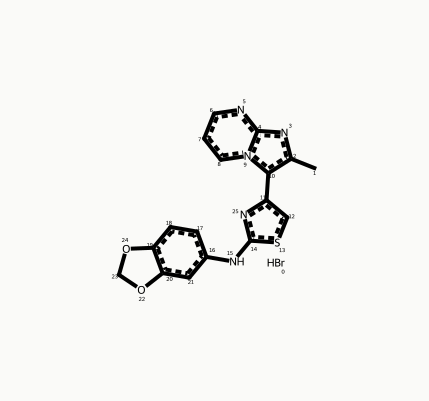 Br.Cc1nc2ncccn2c1-c1csc(Nc2ccc3c(c2)OCO3)n1